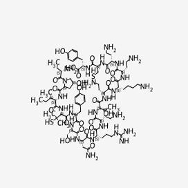 CC[C@H](N)C(=O)N1C[C@H](O)C[C@H]1C(=O)N[C@H](C(=O)N[C@H](C(=O)N[C@@H](Cc1ccc(O)cc1)C(=O)N[C@@H](CO)C(=O)N[C@@H](CC(N)=O)C(=O)N[C@@H](CCCNC(=N)N)C(=O)N[C@@H](CCN)C(=O)N[C@H](C(=O)N[C@H](CCN)C(=O)N[C@@H](CCCCN)C(=O)N[C@@H](CCN)C(=O)N[C@@H](CCN)C(=O)N[C@@H](CS)C(=O)N[C@@H](Cc1ccc(O)cc1)C(=O)O)[C@@H](C)O)C(C)(C)S)[C@@H](C)CC